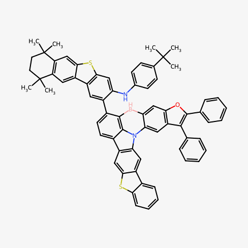 CC(C)(C)c1ccc(Nc2cc3sc4cc5c(cc4c3cc2-c2ccc3c4cc6sc7ccccc7c6cc4n4c3c2Bc2cc3oc(-c6ccccc6)c(-c6ccccc6)c3cc2-4)C(C)(C)CCC5(C)C)cc1